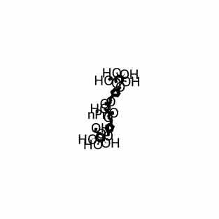 CCC[C@](O)(CC(=O)OCc1ccc(O[C@@H]2O[C@H](CO)[C@@H](O)[C@H](O)[C@H]2O)cc1)C(=O)OCc1ccc(O[C@@H]2O[C@H](CO)[C@@H](O)[C@H](O)[C@H]2O)cc1